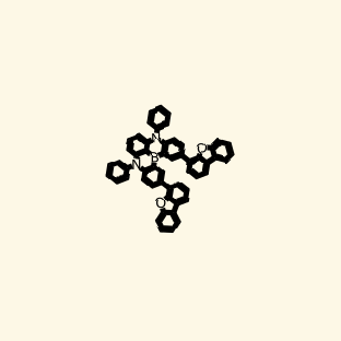 c1ccc(N2c3ccc(-c4cccc5c4oc4ccccc45)cc3B3c4cc(-c5cccc6c5oc5ccccc56)ccc4N(c4ccccc4)c4cccc2c43)cc1